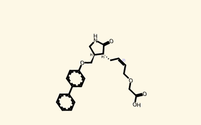 O=C(O)COC/C=C\C[C@H]1C(=O)NC[C@@H]1COc1ccc(-c2ccccc2)cc1